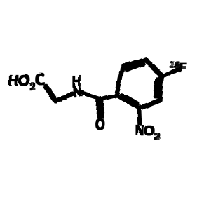 O=C(O)CNC(=O)c1ccc([18F])cc1[N+](=O)[O-]